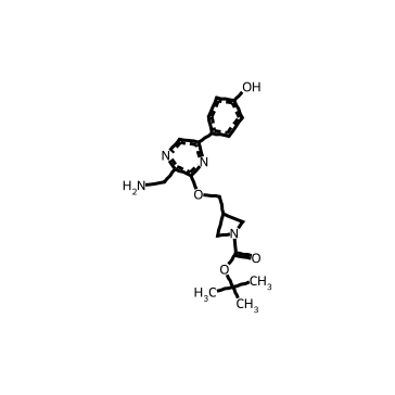 CC(C)(C)OC(=O)N1CC(COc2nc(-c3ccc(O)cc3)cnc2CN)C1